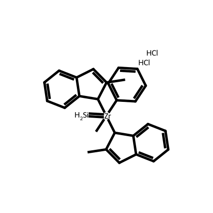 CC1=Cc2ccccc2[CH]1[Zr]([CH3])(=[SiH2])([c]1ccccc1)[CH]1C(C)=Cc2ccccc21.Cl.Cl